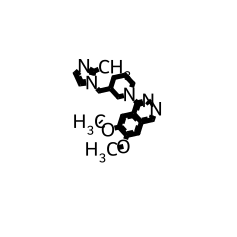 COc1cc2cnnc(N3CCCC(Cn4ccnc4C)C3)c2cc1OC